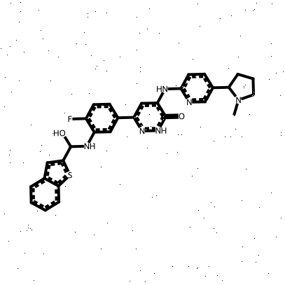 CN1CCCC1c1ccc(Nc2cc(-c3ccc(F)c(NC(O)c4cc5ccccc5s4)c3)n[nH]c2=O)nc1